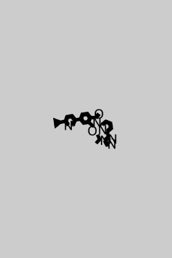 CC(C)n1cnnc1-c1cccc(N2C(=O)c3ccc(-c4ccc(C5CC5)nc4)cc3C2=O)n1